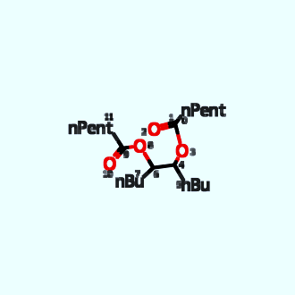 CCCCCC(=O)OC(CCCC)C(CCCC)OC(=O)CCCCC